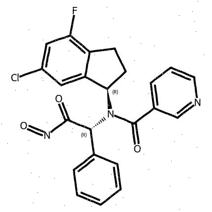 O=NC(=O)[C@@H](c1ccccc1)N(C(=O)c1cccnc1)[C@@H]1CCc2c(F)cc(Cl)cc21